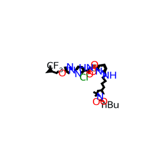 CCCCOC(=O)N1CC(CCCCNc2cccc(S(=O)(=O)NC(=O)c3ccc(-n4cc(OCCC5CC5C(F)(F)F)cn4)nc3Cl)n2)CC1(C)C